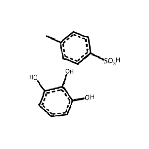 Cc1ccc(S(=O)(=O)O)cc1.Oc1cccc(O)c1O